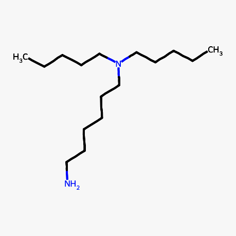 CCCCCN(CCCCC)CCCCCCN